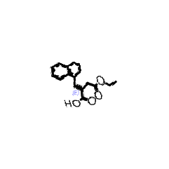 CCOC(=O)C/C(=C\c1cccc2ccccc12)C(=O)O